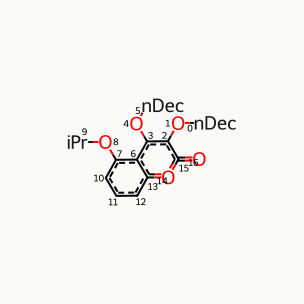 CCCCCCCCCCOc1c(OCCCCCCCCCC)c2c(OC(C)C)cccc2oc1=O